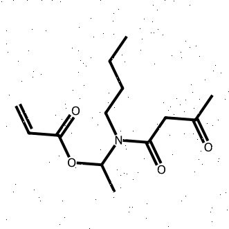 C=CC(=O)OC(C)N(CCCC)C(=O)CC(C)=O